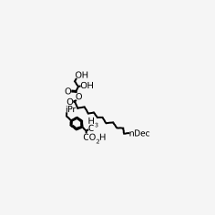 CC(C)Cc1ccc(C(C)C(=O)O)cc1.CCCCCCCCCCCCCCCCCCCCCC(=O)OC(=O)C(O)CO